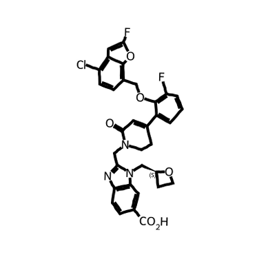 O=C(O)c1ccc2nc(CN3CCC(c4cccc(F)c4OCc4ccc(Cl)c5cc(F)oc45)=CC3=O)n(C[C@@H]3CCO3)c2c1